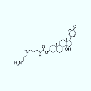 CN(CCCN)CCCNC(=O)O[C@H]1CC[C@@]2(C)C(CCC3C2CC[C@]2(C)[C@@H](c4ccc(=O)oc4)CC[C@]32O)C1